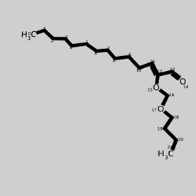 CCCCCCCCCCCC=C(C=O)OCOCCCC